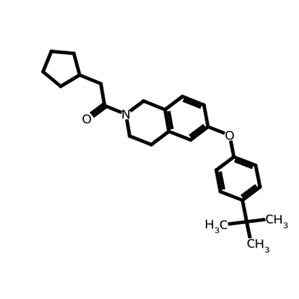 CC(C)(C)c1ccc(Oc2ccc3c(c2)CCN(C(=O)CC2CCCC2)C3)cc1